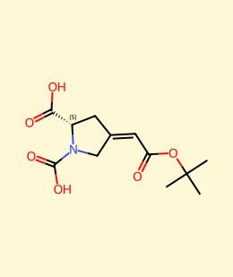 CC(C)(C)OC(=O)C=C1C[C@@H](C(=O)O)N(C(=O)O)C1